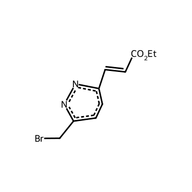 CCOC(=O)/C=C/c1ccc(CBr)nn1